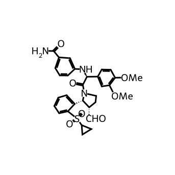 COc1ccc([C@H](Nc2cccc(C(N)=O)c2)C(=O)N2CC[C@H](C=O)[C@@H]2c2ccccc2S(=O)(=O)C2CC2)cc1OC